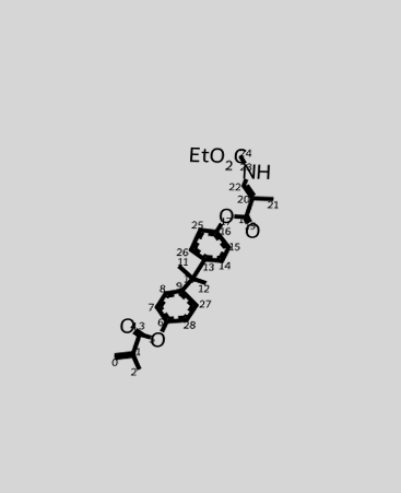 C=C(C)C(=O)Oc1ccc(C(C)(C)c2ccc(OC(=O)C(C)=CNC(=O)OCC)cc2)cc1